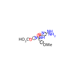 COc1ccc(C[C@H](NC(=O)c2ccc(C(=N)N)cn2)C(=O)N2CCC(OCC(=O)O)CC2)cc1